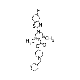 C[C@@H]1CN(c2nc3cc(F)ccc3s2)C[C@H](C)N1C(=O)OC1CCN(Cc2ccccc2)CC1